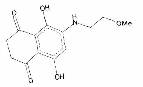 COCCNc1cc(O)c2c(c1O)C(=O)CCC2=O